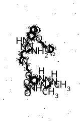 CNc1cc(C)nc(Nc2cc3c(c(OCCCN4CCC(Cc5cc(N)nc(Nc6cc7c(c(OCCCN8CCCC8)c6)OCC7)n5)C4)c2)OCC(=O)N3)n1